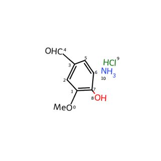 COc1cc(C=O)ccc1O.Cl.N